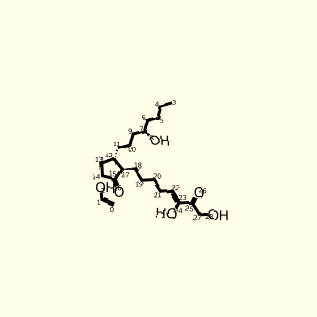 C=CO.CCCC[C@@H](O)CCC[C@H]1CCC(=O)[C@@H]1CCCCC=C(O)C(=O)CO